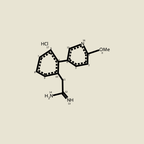 COc1ccc(-c2ccccc2CC(=N)N)cn1.Cl